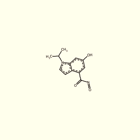 CC(C)n1ccc2c(C(=O)N=O)cc(O)cc21